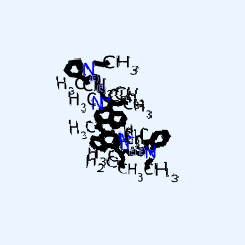 C=C(C)CC1(C)C(/C=C/C=C2/N(CCC)c3ccccc3C2(C)C)=[N+](C)c2cc(C(C)c3cc4c(c5ccccc35)C(C)(CC(=C)C)C(/C=C/C=C3/N(CCC)c5ccccc5C3(C)C)=[N+]4C)c3ccccc3c21